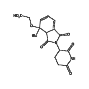 CC(C)(C)C1(OCC(=O)O)C=CC=C2C(=O)N(C3CCC(=O)NC3=O)C(=O)C21